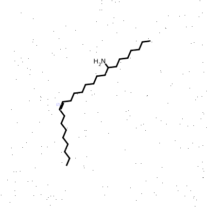 CCCCCCCC/C=C\CCCCCCCC(N)CCCCCCC